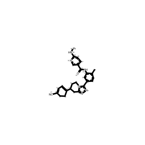 Cc1ccc(-c2nnc3n2CCC(C2=CC=C(C#N)CC2)C3)cc1NC(=O)c1ccc(NC(C)C)nc1